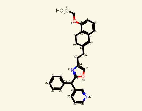 O=C(O)COc1cccc2c1CCC(CCc1coc(C(c3ccccc3)c3cccnc3)n1)=C2